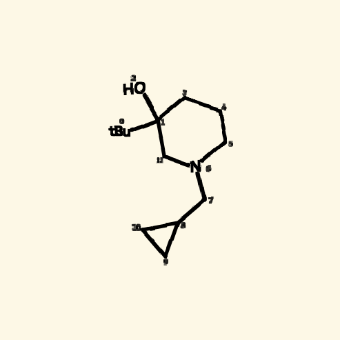 CC(C)(C)C1(O)CCCN(CC2CC2)C1